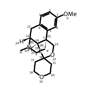 COc1ccc2c(c1)[C@]13CCN(C)[C@H](C2)[C@@H]1CC1(CCOCC1)OC3